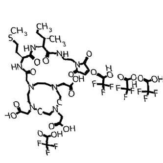 CC[C@H](C)[C@H](NC(=O)[C@H](CCSC)NC(=O)CN1CCN(CC(=O)O)CCN(CC(=O)O)CCN(CC(=O)O)CC1)C(=O)NCCN1C(=O)C=CC1=O.O=C(O)C(F)(F)F.O=C(O)C(F)(F)F.O=C(O)C(F)(F)F.O=C(O)C(F)(F)F